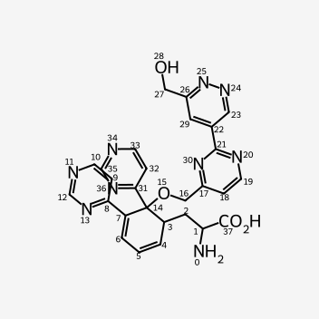 NC(CC1C=CC=C(c2ccncn2)C1(OCc1ccnc(-c2cnnc(CO)c2)n1)c1ccncn1)C(=O)O